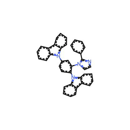 c1ccc(-c2nccn2-c2cc(-n3c4ccccc4c4ccccc43)ccc2-n2c3ccccc3c3ccccc32)cc1